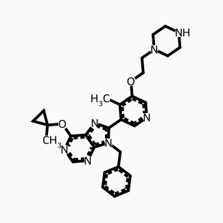 Cc1c(OCCN2CCNCC2)cncc1-c1nc2c(OC3(C)CC3)ncnc2n1Cc1ccccc1